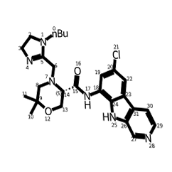 CCCCN1CCN=C1CN1CC(C)(C)OC[C@H]1C(=O)Nc1cc(Cl)cc2c1[nH]c1cnccc12